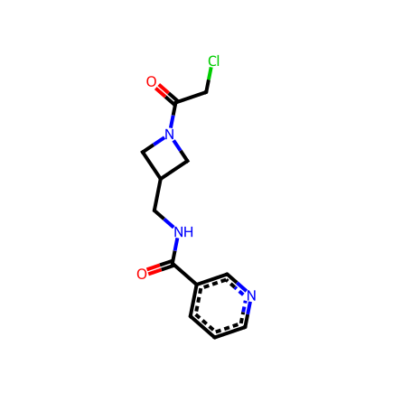 O=C(NCC1CN(C(=O)CCl)C1)c1cccnc1